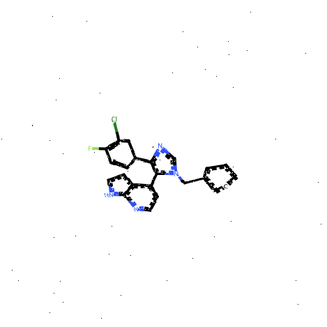 FC1=C(Cl)CC(c2ncn(Cc3ccccc3)c2-c2ccnc3[nH]ccc23)C=C1